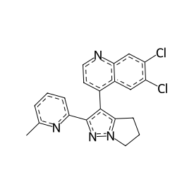 Cc1cccc(-c2nn3c(c2-c2ccnc4cc(Cl)c(Cl)cc24)CCC3)n1